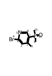 Cc1cc(Br)ncc1P(C)(C)=O